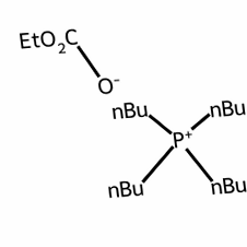 CCCC[P+](CCCC)(CCCC)CCCC.CCOC(=O)[O-]